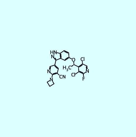 C[C@@H](Oc1ccc2[nH]nc(-c3cnc(N4CCC4)c(C#N)c3)c2c1)c1c(Cl)cnc(F)c1Cl